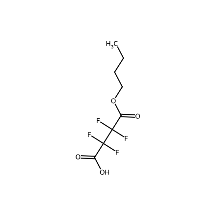 CCCCOC(=O)C(F)(F)C(F)(F)C(=O)O